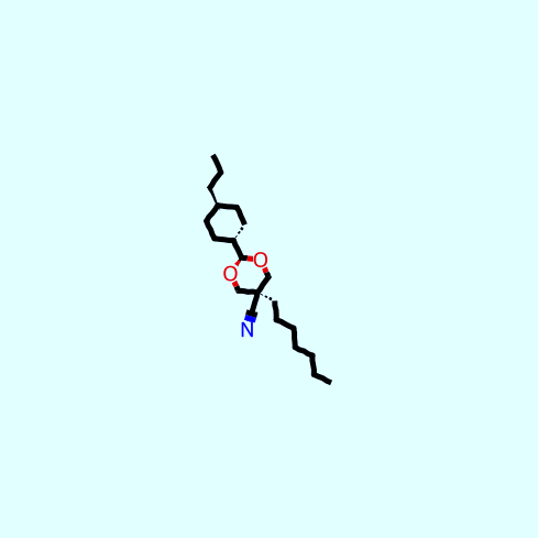 CCCCCCC[C@]1(C#N)CO[C@@H]([C@H]2CC[C@H](CCC)CC2)OC1